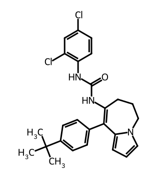 CC(C)(C)c1ccc(C2=C(NC(=O)Nc3ccc(Cl)cc3Cl)CCCn3cccc32)cc1